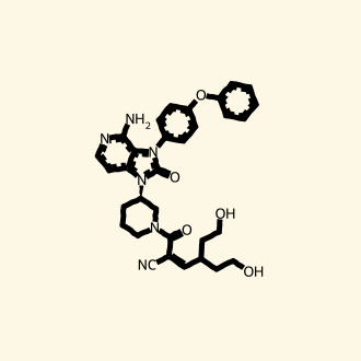 N#C/C(=C/C(CCO)CCO)C(=O)N1CCC[C@@H](n2c(=O)n(-c3ccc(Oc4ccccc4)cc3)c3c(N)nccc32)C1